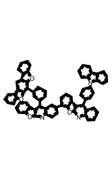 c1cc(-c2c3oc4ccccc4c3cc3c2oc2ccccc23)cc(-c2c3cc(-c4cccc5c4oc4nc6ccccc6c(-c6ccc(-n7c8ccccc8c8ccccc87)cc6)c45)ccc3nc3oc4ccccc4c23)c1